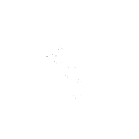 C[C@@]12C[C@@H](C(=O)Nc3cncc(Cl)n3)N[C@@H]1C2